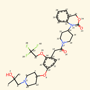 CC(C)(O)CN1CCC(Oc2ccc(CC(=O)N3CCC(N4C(=O)OCc5ccccc54)CC3)c(OCC(F)(F)F)c2)CC1